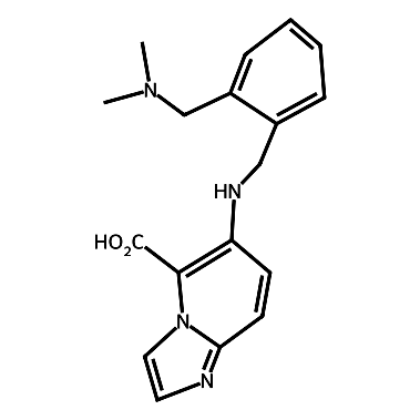 CN(C)Cc1ccccc1CNc1ccc2nccn2c1C(=O)O